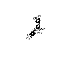 CCCC(=O)N1CCC(CN2CC[C@@H](NC(=O)c3cc(Cl)c(N)cc3OC)[C@@H](OC)C2)CC1